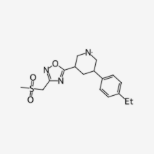 CCc1ccc(C2C[N]CC(c3nc(CS(C)(=O)=O)no3)C2)cc1